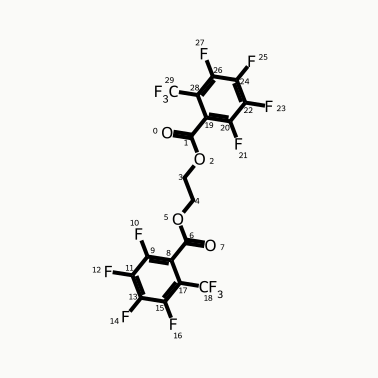 O=C(OCCOC(=O)c1c(F)c(F)c(F)c(F)c1C(F)(F)F)c1c(F)c(F)c(F)c(F)c1C(F)(F)F